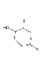 CC1CC(F)CCC1O